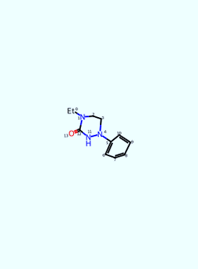 CCN1CCN(c2ccccc2)NC1=O